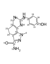 Cn1nc(C(N)=O)c2c1-c1nc(Nc3ccc(O)cc3)ncc1CC2